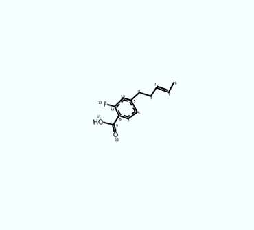 CC=CCCc1ccc(C(=O)O)c(F)c1